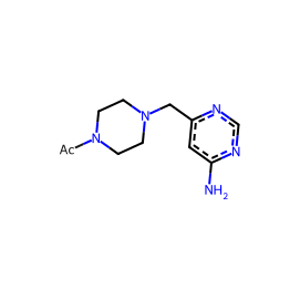 CC(=O)N1CCN(Cc2cc(N)ncn2)CC1